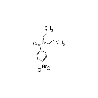 CCCN(CCC)C(=O)c1ccc([N+](=O)[O-])cc1